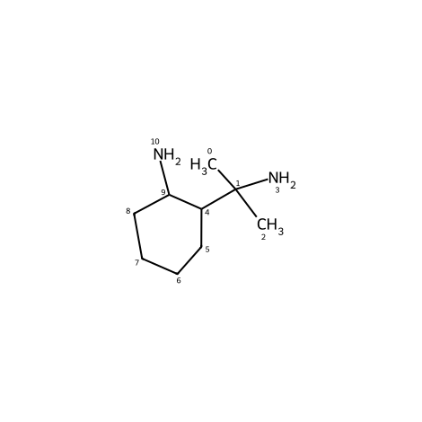 CC(C)(N)C1CCCCC1N